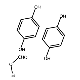 CCOC=O.Oc1ccc(O)cc1.Oc1ccc(O)cc1